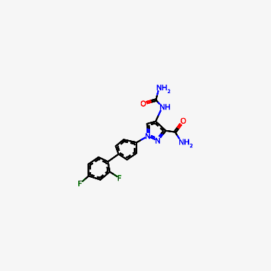 NC(=O)Nc1cn(-c2ccc(-c3ccc(F)cc3F)cc2)nc1C(N)=O